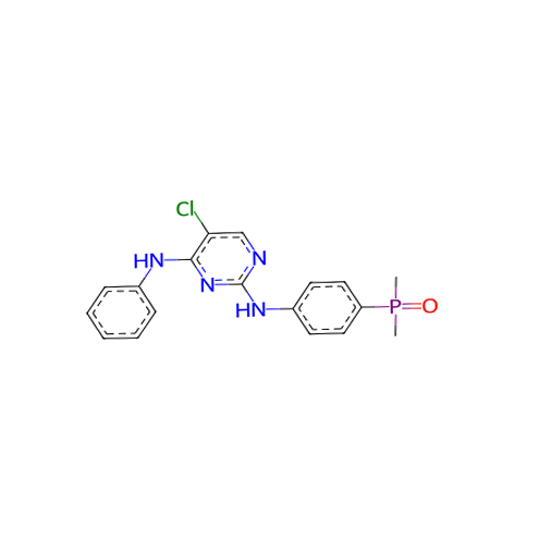 CP(C)(=O)c1ccc(Nc2ncc(Cl)c(Nc3ccccc3)n2)cc1